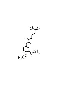 COc1ccc(CC(=O)C(=O)CCCC(=O)Cl)cc1OC